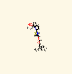 CC(C)(O)c1cccc(-c2nc(COCOCC[Si](C)(C)C)cs2)n1